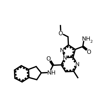 COCc1nn2c(C(=O)NC3Cc4ccccc4C3)cc(C)nc2c1C(N)=O